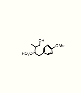 COc1ccc(CN(C(=O)O)C(C)CO)cc1